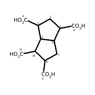 O=C(O)C1CC(C(=O)O)C2C1CC(C(=O)O)C2C(=O)O